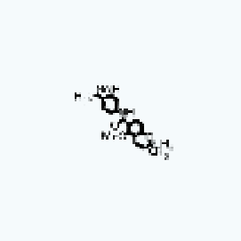 COc1c(C(=O)Nc2ccc3c(C)n[nH]c3c2)ccc2c1C=CC(C)(C)O2